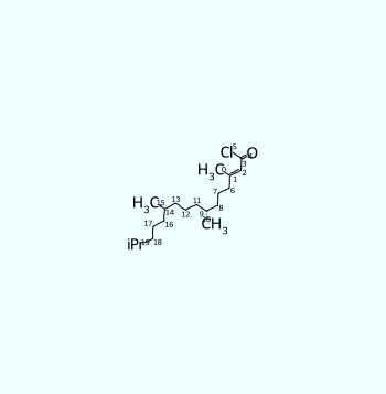 C/C(=C\C(=O)Cl)CCC[C@H](C)CCC[C@H](C)CCCC(C)C